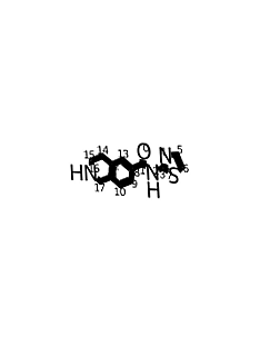 O=C(Nc1nccs1)c1ccc2c(c1)CCNC2